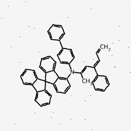 C=C/C=C(\C=C(/C)N(c1ccc(-c2ccccc2)cc1)c1cccc2c1-c1ccccc1C21c2ccccc2-c2ccccc21)c1ccccc1